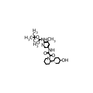 Cc1cc(NC(=O)C(=O)N2CCCC[C@@H]2[C@H]2CC[C@H](O)CC2)cnc1NC(=O)OC(C)(C)C